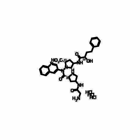 Cl.Cl.Cl.NCC(=O)NC1CN[C@@H](C(=O)N(c2cnc3ccccc3c2)N2CC(NC(=O)[C@H](O)CCc3ccccc3)C[C@H]2C(=O)O)C1